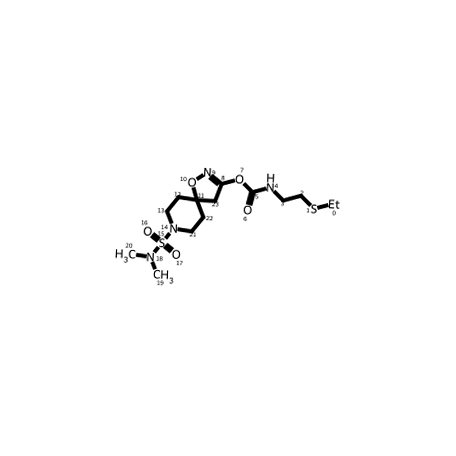 CCSCCNC(=O)OC1=NOC2(CCN(S(=O)(=O)N(C)C)CC2)C1